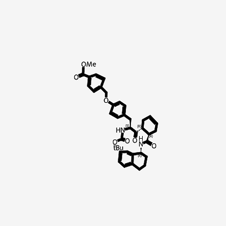 COC(=O)c1ccc(COc2ccc(C[C@H](NC(=O)OC(C)(C)C)C(=O)[C@@H]3CC=CC[C@H]3C(=O)N[C@@H]3CCCc4ccccc43)cc2)cc1